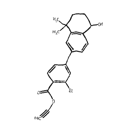 C#COC(=O)c1ccc(-c2ccc3c(c2)C(C)(C)CCC3O)cc1CC